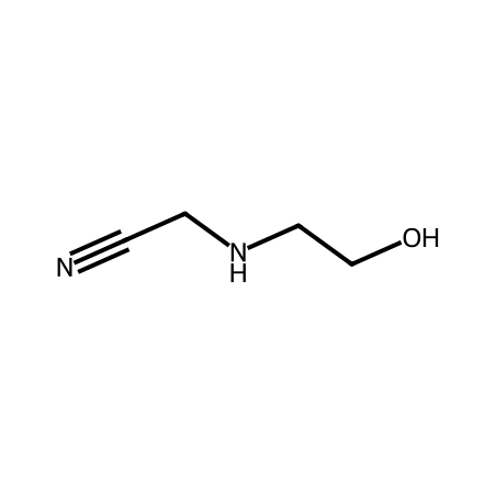 N#CCNCCO